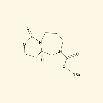 CC(C)(C)OC(=O)N1CCCN2[C@H](CCOS2=O)C1